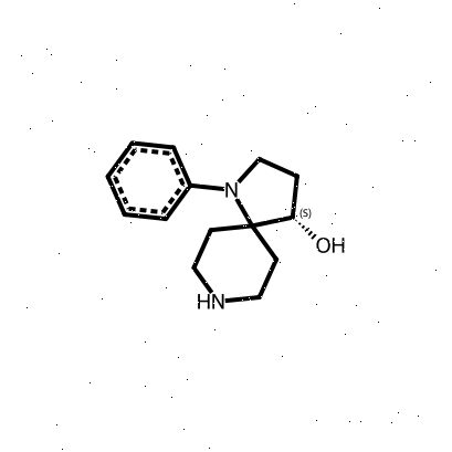 O[C@H]1CCN(c2ccccc2)C12CCNCC2